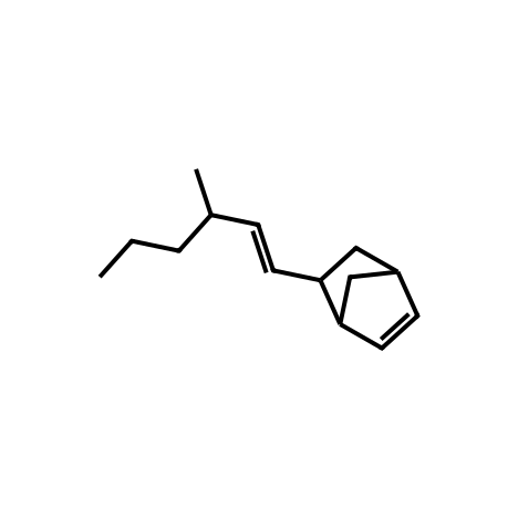 CCCC(C)C=CC1CC2C=CC1C2